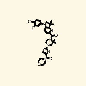 CC1(C)CN(c2ccc(Cl)c(F)c2)c2ccc(C(=O)N3CCN(c4nc(C(=O)N5CCOCC5)cs4)CC3(C)C)nc21